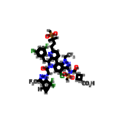 CC(C)(CCc1ccc(-c2ccc(Cl)c3c(N(C(=O)[C@H]4C[C@@H](C(=O)O)C4)S(C)(=O)=O)nn(CC(F)(F)F)c23)c([C@H](Cc2cc(F)cc(F)c2)NC(=O)Cn2nc(C(F)(F)F)c3c2C(F)(F)C2C[C@H]32)n1)S(C)(=O)=O